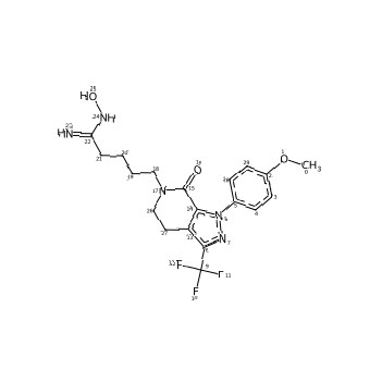 COc1ccc(-n2nc(C(F)(F)F)c3c2C(=O)N(CCCCC(=N)NO)CC3)cc1